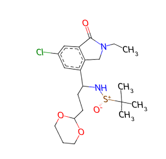 CCN1Cc2c(cc(Cl)cc2C(CCC2OCCCO2)N[S@@+]([O-])C(C)(C)C)C1=O